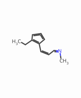 CCC1=C(/C=C\C=N/C)C=C=C1